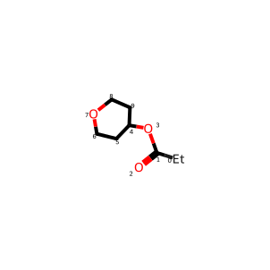 CCC(=O)OC1CCOCC1